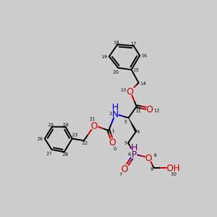 O=C(N[C@H](CC[PH](=O)OCO)C(=O)OCc1ccccc1)OCc1ccccc1